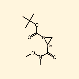 CON(C)C(=O)[C@@H]1CN1C(=O)OC(C)(C)C